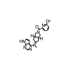 COc1cccc(C(=O)N2C[C@H]3C[C@@H](N(C)c4ncnc5[nH]ccc45)C[C@H]3C2)n1